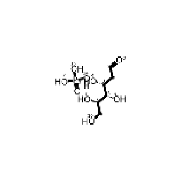 O=CC[C@@H](O)[C@H](O)[C@H](O)CO.O=P(O)(O)O